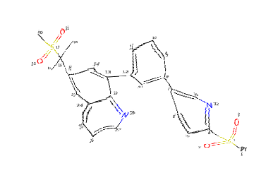 CC(C)S(=O)(=O)c1ccc(-c2cccc(-c3cc(C(C)(C)S(C)(=O)=O)cc4cccnc34)c2)cn1